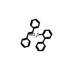 C(=Cc1ccccc1)c1ccccc1.O=S(=O)(O)c1ccccc1-c1ccccc1